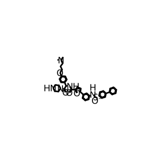 CN(C)CCCOc1ccc(C(NC(=O)c2ccc(-c3cccc(N[S+]([O-])c4ccc(-c5ccccc5)cc4)c3)o2)C(=O)N2CCNCC2)cc1